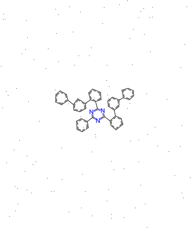 c1ccc(-c2cccc(-c3ccccc3-c3nc(-c4ccccc4)nc(-c4ccccc4-c4cccc(-c5ccccc5)c4)n3)c2)cc1